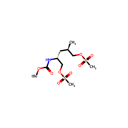 C[C@@H](COS(C)(=O)=O)C[C@H](COS(C)(=O)=O)NC(=O)OC(C)(C)C